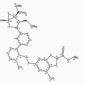 COC[C@H]1N(c2cccc(-c3cccc(C)c3OCc3cc(C)c4c(c3)CN(C(=O)OC(C)(C)C)C4)n2)C[C@@H]2C[C@@]21C(=O)OC